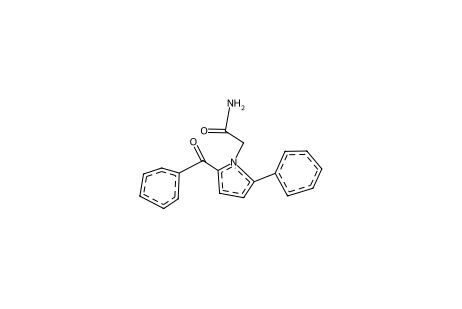 NC(=O)Cn1c(C(=O)c2ccccc2)ccc1-c1ccccc1